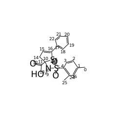 Cc1ccc(S(=O)(=O)N(C)C2(C(=O)O)CC=C(c3ccccc3)S2)c(C)c1